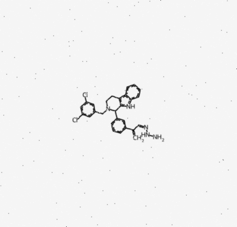 C=C(/C=N\NN)c1cccc(C2c3[nH]c4ccccc4c3CCN2Cc2cc(Cl)cc(Cl)c2)c1